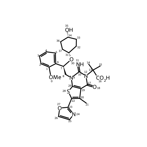 COc1ccccc1[C@H](Cn1c(=N)n(C(C)(C)C(=O)O)c(=O)c2c(C)c(-c3ncco3)sc21)O[C@H]1CC[C@@H](O)CC1